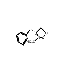 O=C(O)N1SOC[C@H]1Cc1ccccc1